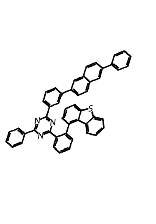 c1ccc(-c2ccc3cc(-c4cccc(-c5nc(-c6ccccc6)nc(-c6ccccc6-c6cccc7sc8ccccc8c67)n5)c4)ccc3c2)cc1